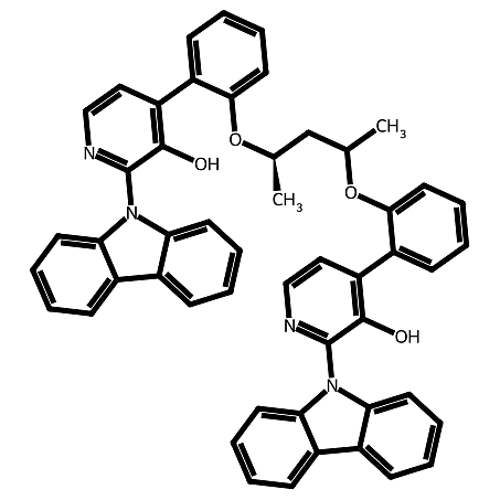 CC(C[C@@H](C)Oc1ccccc1-c1ccnc(-n2c3ccccc3c3ccccc32)c1O)Oc1ccccc1-c1ccnc(-n2c3ccccc3c3ccccc32)c1O